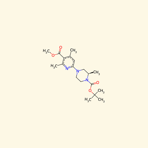 COC(=O)c1c(C)cc(N2CCN(C(=O)OC(C)(C)C)[C@H](C)C2)nc1C